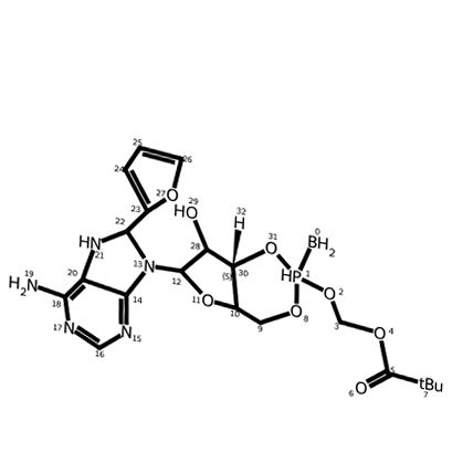 B[PH]1(OCOC(=O)C(C)(C)C)OCC2OC(N3c4ncnc(N)c4NC3c3ccco3)C(O)[C@@H]2O1